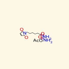 CC(=O)O[PH](N)(N)OC(=O)CCCCCN1C(=O)C=CC1=O